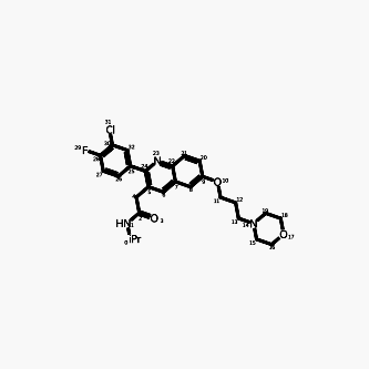 CC(C)NC(=O)Cc1cc2cc(OCCCN3CCOCC3)ccc2nc1-c1ccc(F)c(Cl)c1